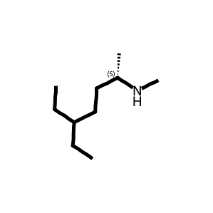 CCC(CC)CC[C@H](C)NC